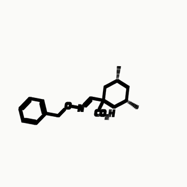 C[C@@H]1C[C@H](C)CC(/C=N/OCc2ccccc2)(C(=O)O)C1